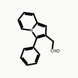 O=CCc1cc2ccccn2c1-c1ccccc1